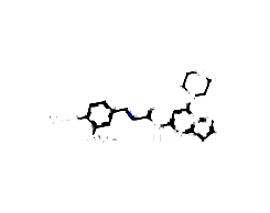 COc1ccc(/C=C/C(=O)Nc2cc(N3CCOCC3)n3nccc3n2)cc1OC